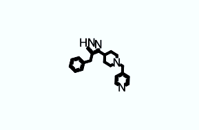 c1ccc(Cc2c[nH]nc2C2CCN(Cc3ccncc3)CC2)cc1